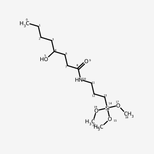 CCCCC(O)CCC(=O)NCCC[Si](OC)(OC)OC